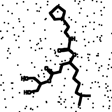 CC(C)CCCCC(CCC(=O)OC(CO)CO)OC(=O)NCCN1CCCC1